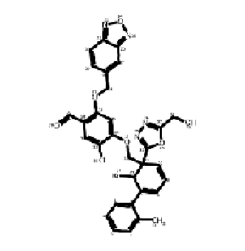 Cc1ccccc1C1=CC=CC(COc2cc(OCc3ccc4nonc4c3)c(C=O)cc2Cl)(c2nnc(CO)o2)C1Br